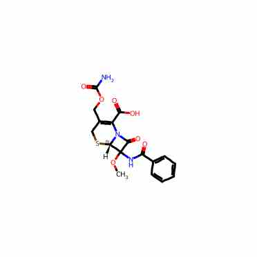 COC1(NC(=O)c2ccccc2)C(=O)N2C(C(=O)O)=C(COC(N)=O)CS[C@H]21